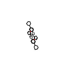 C1=CC[C]([Zr]([O]c2ccc(C3CCCCC3)cc2)([O]c2ccc(C3CCCCC3)cc2)[C]2=CC=CC2)=C1